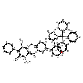 CCCn1c(=O)c(-c2ccccc2)c(Cl)n(Cc2ccc(-c3ccccc3-c3nnnn3C(c3ccccc3)(c3ccccc3)c3ccccc3)cc2)c1=O